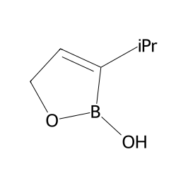 CC(C)C1=CCOB1O